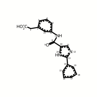 O=C(O)Cc1cccc(NC(=O)c2cnc(-c3ccccc3)[nH]2)c1